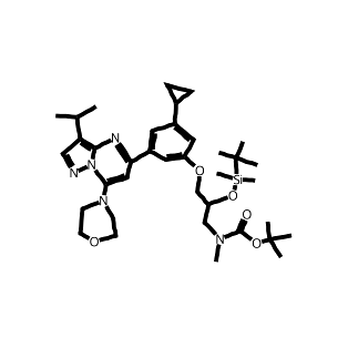 CC(C)c1cnn2c(N3CCOCC3)cc(-c3cc(OCC(CN(C)C(=O)OC(C)(C)C)O[Si](C)(C)C(C)(C)C)cc(C4CC4)c3)nc12